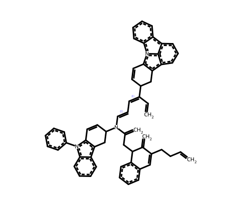 C=CCCC1=Cc2ccccc2C(CC(=C)N(/C=C/C=C(\C=C)C2C=Cc3c(c4cccc5c6ccccc6n3c45)C2)C2C=Cc3c(c4ccccc4n3-c3ccccc3)C2)C1=C